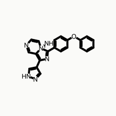 N[N+]12C=CN=CC1=C(c1cn[nH]c1)N=C2c1ccc(Oc2ccccc2)cc1